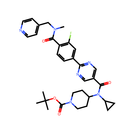 CN(Cc1ccncc1)C(=O)c1ccc(-c2ncc(C(=O)N(C3CC3)C3CCN(C(=O)OC(C)(C)C)CC3)cn2)cc1F